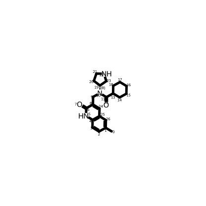 Cc1ccc2[nH]c(=O)c(CN(C(=O)C3CCCCC3)[C@@H]3CCNC3)cc2c1